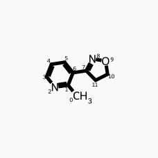 Cc1ncccc1C1=NOCC1